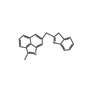 CC1=Nc2cc(CC3=Nc4ccccc4C3)cc3cccc1c23